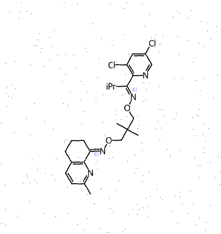 Cc1ccc2c(n1)/C(=N/OCC(C)(C)CO/N=C(/c1ncc(Cl)cc1Cl)C(C)C)CCC2